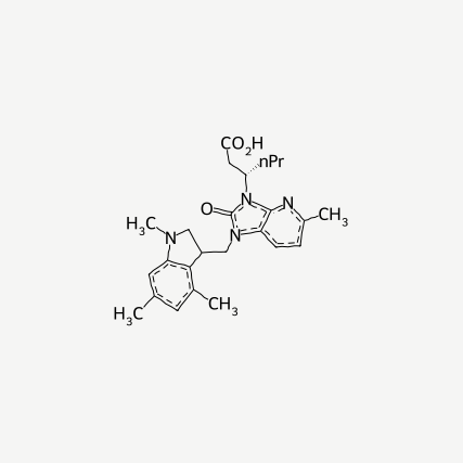 CCC[C@@H](CC(=O)O)n1c(=O)n(CC2CN(C)c3cc(C)cc(C)c32)c2ccc(C)nc21